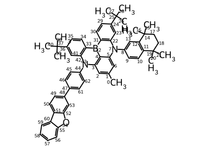 Cc1cc2c3c(c1)N(c1ccc4c(c1)C(C)(C)CCC4(C)C)c1cc(C(C)(C)C)ccc1B3c1ccc(C(C)(C)C)cc1N2c1ccc(-c2ccc3c(c2)oc2ccccc23)cc1